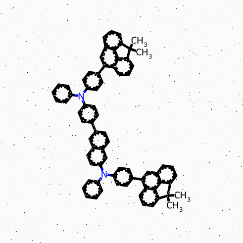 CC1(C)c2cccc3cc(-c4ccc(N(c5ccccc5)c5ccc(-c6ccc7cc(N(c8ccccc8)c8ccc(-c9cc%10cccc%11c%10c%10c(cccc9%10)C%11(C)C)cc8)ccc7c6)cc5)cc4)c4cccc1c4c23